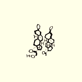 CC(=O)[C@H]1CC[C@H]2[C@@H]3CCC4=CC(=O)CC[C@]4(C)[C@H]3CC[C@]12C.C[C@]12CC[C@H]3[C@@H](CCC4=CC(=O)CC[C@@]43C)[C@@H]1CC[C@@H]2C(=O)CO